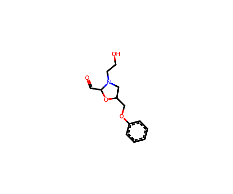 O=CC1OC(COc2ccccc2)CN1CCO